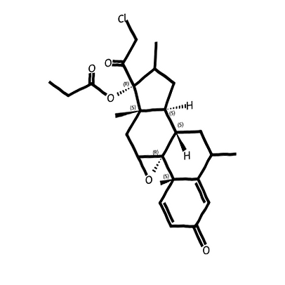 CCC(=O)O[C@]1(C(=O)CCl)C(C)C[C@H]2[C@@H]3CC(C)C4=CC(=O)C=C[C@]4(C)[C@]34OC4C[C@@]21C